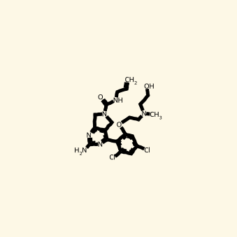 C=CCNC(=O)N1Cc2nc(N)nc(-c3c(Cl)cc(Cl)cc3OCCN(C)CCO)c2C1